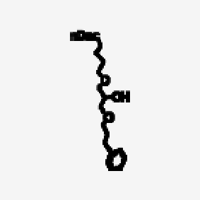 CCCCCCCCCCCCCCOCC(O)COCCCc1ccccc1